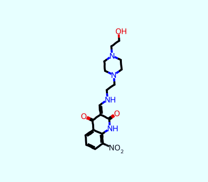 O=C1Nc2c(cccc2[N+](=O)[O-])C(=O)C1=CNCCN1CCN(CCO)CC1